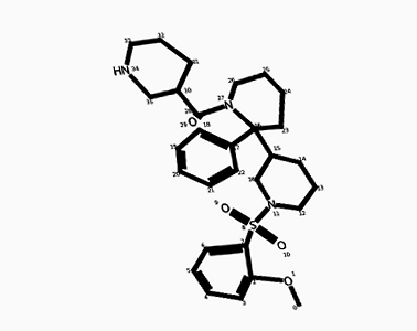 COc1ccccc1S(=O)(=O)N1CCCC(C2(c3ccccc3)CCCCN2C(=O)C2CCCNC2)C1